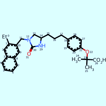 CCc1cc2ccccc2cc1CN1CC(CCCc2ccc(OC(C)(C)C(=O)O)cc2)NC1=O